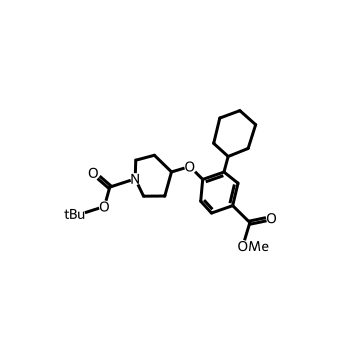 COC(=O)c1ccc(OC2CCN(C(=O)OC(C)(C)C)CC2)c(C2CCCCC2)c1